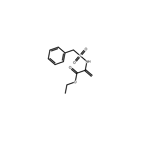 C=C(NS(=O)(=O)Cc1ccccc1)C(=O)OCC